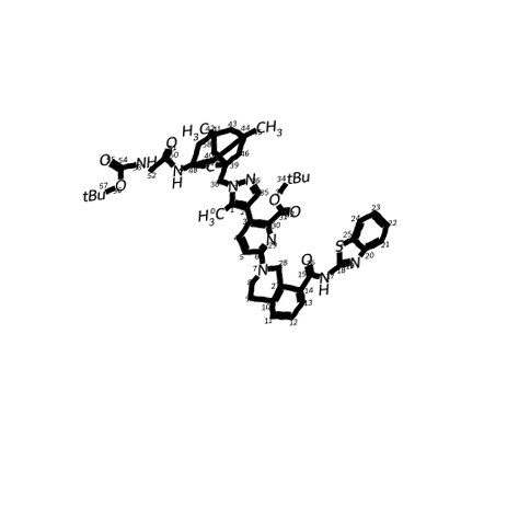 Cc1c(-c2ccc(N3CCc4cccc(C(=O)Nc5nc6ccccc6s5)c4C3)nc2C(=O)OC(C)(C)C)cnn1CC12CC3(C)CC(C)(C1)CC(NC(=O)CNC(=O)OC(C)(C)C)(C3)C2